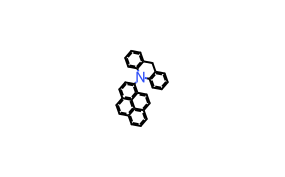 c1ccc2c(c1)Cc1ccccc1N2c1ccc2ccc3cccc4ccc1c2c34